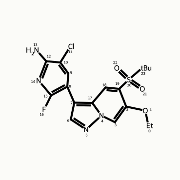 CCOc1cn2ncc(-c3cc(Cl)c(N)nc3F)c2cc1S(=O)(=O)C(C)(C)C